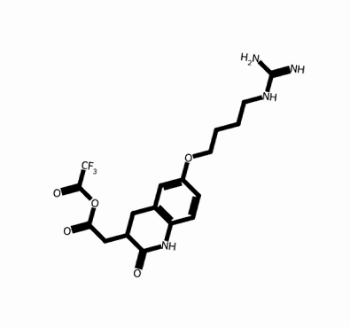 N=C(N)NCCCCOc1ccc2c(c1)CC(CC(=O)OC(=O)C(F)(F)F)C(=O)N2